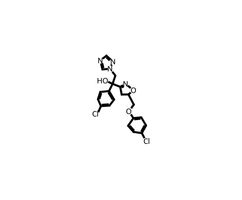 OC(Cn1cncn1)(C1=NOC(COc2ccc(Cl)cc2)C1)c1ccc(Cl)cc1